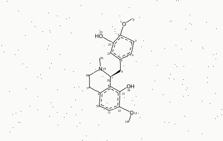 COc1ccc(C[C@H]2c3c(ccc(OC)c3O)CCN2C)cc1O